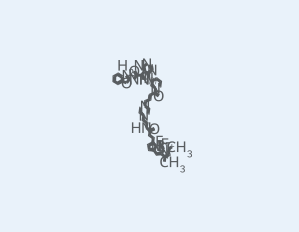 CC1=CC(C)=[N+]2C1=Cc1ccc(CCC(=O)NCCN3CCN(CC=CC(=O)N4CCC[C@@H](n5nc(C(=O)Nc6nc7ccccc7o6)c6c(N)ncnc65)C4)CC3)n1[B-]2(F)F